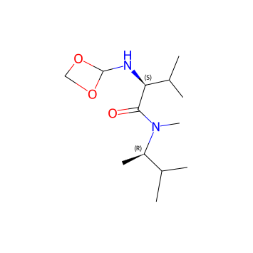 CC(C)[C@H](NC1OCO1)C(=O)N(C)[C@H](C)C(C)C